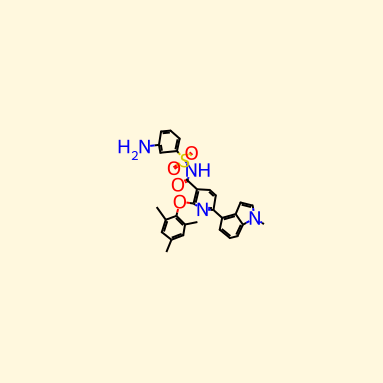 Cc1cc(C)c(Oc2nc(-c3cccc4c3ccn4C)ccc2C(=O)NS(=O)(=O)c2cccc(N)c2)c(C)c1